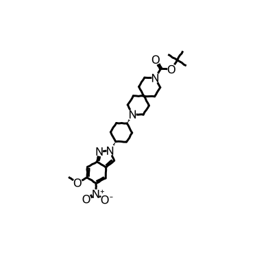 COc1cc2nn([C@H]3CC[C@@H](N4CCC5(CCN(C(=O)OC(C)(C)C)CC5)CC4)CC3)cc2cc1[N+](=O)[O-]